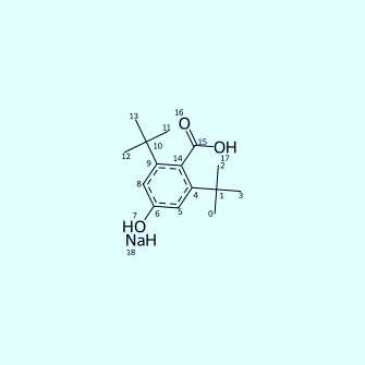 CC(C)(C)c1cc(O)cc(C(C)(C)C)c1C(=O)O.[NaH]